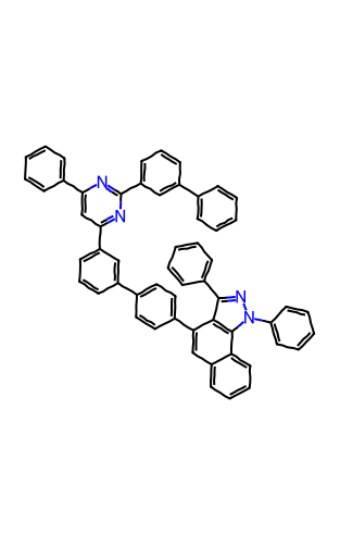 c1ccc(-c2cccc(-c3nc(-c4ccccc4)cc(-c4cccc(-c5ccc(-c6cc7ccccc7c7c6c(-c6ccccc6)nn7-c6ccccc6)cc5)c4)n3)c2)cc1